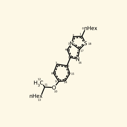 CCCCCCc1cn2cc(-c3ccc(OC(C)CCCCCC)cc3)nc2s1